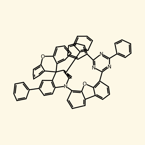 c1ccc(-c2ccc3c(c2)C2(c4ccccc4Oc4ccccc42)c2cc(-c4ccccc4)ccc2N3c2cccc3c2oc2c(-c4nc(-c5ccccc5)nc(-c5ccccc5)n4)cccc23)cc1